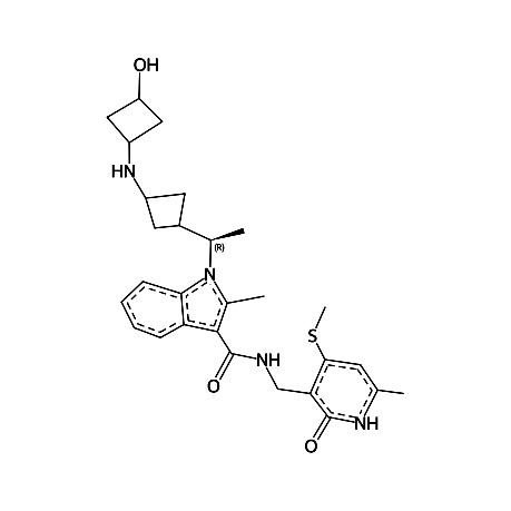 CSc1cc(C)[nH]c(=O)c1CNC(=O)c1c(C)n([C@H](C)C2CC(NC3CC(O)C3)C2)c2ccccc12